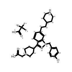 O=C(O)C(F)(F)F.O=C(O)CN1CCC(c2nn(Cc3ccc(Cl)cc3)c3cc(CCC4CCNCC4)ccc23)CC1